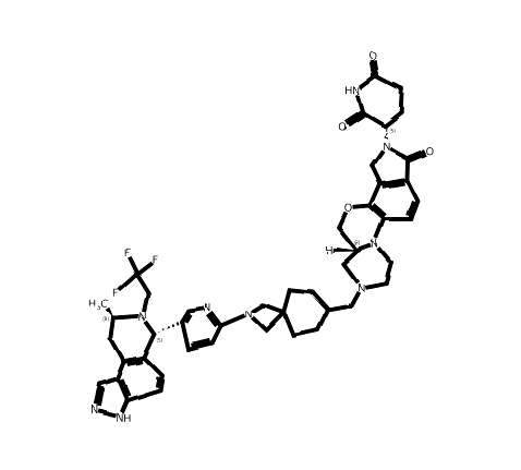 C[C@@H]1Cc2c(ccc3[nH]ncc23)[C@@H](c2ccc(N3CC4(CCC(CN5CCN6c7ccc8c(c7OC[C@H]6C5)CN([C@H]5CCC(=O)NC5=O)C8=O)CC4)C3)nc2)N1CC(F)(F)F